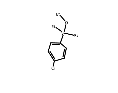 CCO[Si](CC)(CC)c1ccc(Cl)cc1